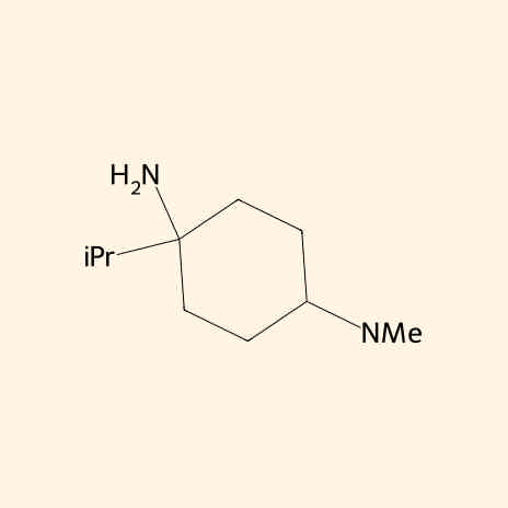 CNC1CCC(N)(C(C)C)CC1